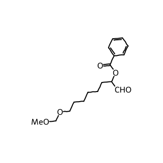 COCOCCCCCCC(C=O)OC(=O)c1ccccc1